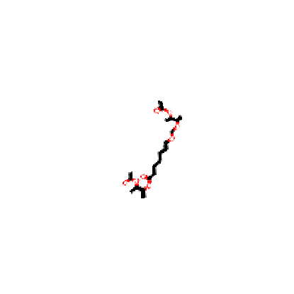 C=C(OCOCCCCCCC(=O)OC(=C)C(C)OC(C)=O)C(C)OC(C)=O